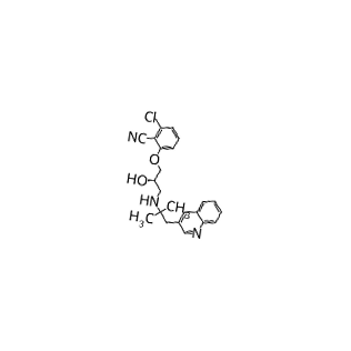 CC(C)(Cc1cnc2ccccc2c1)NC[C@@H](O)COc1cccc(Cl)c1C#N